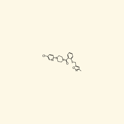 Cc1cc(CSc2ccccc2C(=O)N2CCN(c3ccc(Cl)cn3)CC2)on1